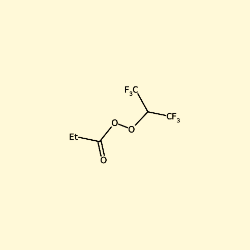 CCC(=O)OOC(C(F)(F)F)C(F)(F)F